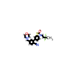 CC(F)(F)CCn1c(=O)sc2cc(-c3cc(CN4CCOCC4)ccc3C#N)ccc21